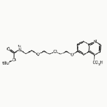 CC(C)(C)OC(=O)NCCOCCOCCOc1ccc2nccc(C(=O)O)c2c1